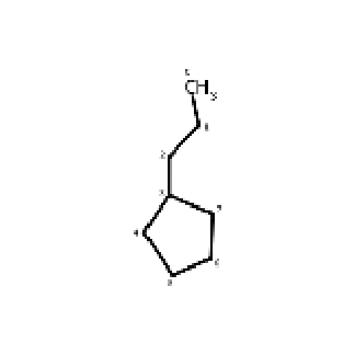 C[CH]CC1[CH]CCC1